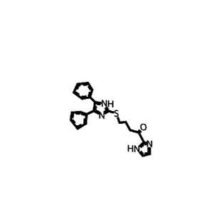 O=C(CCCSc1nc(-c2ccccc2)c(-c2ccccc2)[nH]1)c1ncc[nH]1